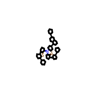 c1ccc(-c2ccc3c(-c4ccc(N(c5cccc6c5sc5c(-c7ccccc7)cccc56)c5cccc6c5sc5c(-c7ccccc7)cccc56)cc4)cccc3c2)cc1